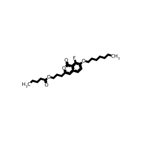 CCCCCCCOc1ccc2cc(CCCOC(=O)CCCC)oc(=O)c2c1F